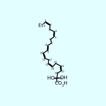 CC/C=C\C/C=C\CC/C=C/C=C\C/C=C\C/C=C\CC(O)(O)C(=O)O